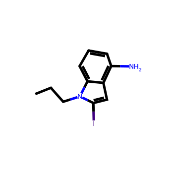 CCCn1c(I)cc2c(N)cccc21